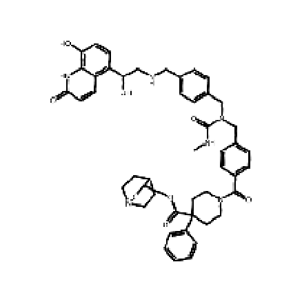 CNC(=O)N(Cc1ccc(CNCC(O)c2ccc(O)c3[nH]c(=O)ccc23)cc1)Cc1ccc(C(=O)N2CCC(C(=O)OC3CN4CCC3CC4)(c3ccccc3)CC2)cc1